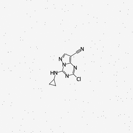 N#Cc1cnn2c(NC3CC3)nc(Cl)nc12